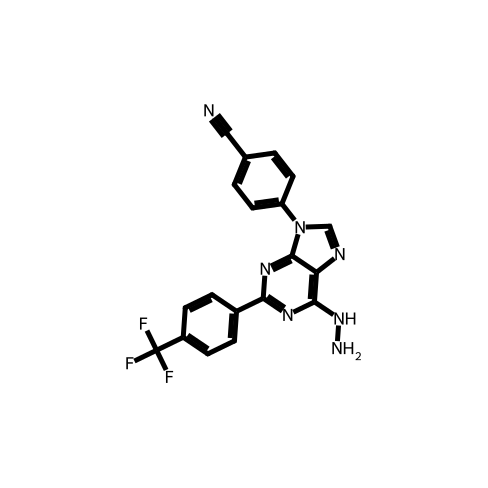 N#Cc1ccc(-n2cnc3c(NN)nc(-c4ccc(C(F)(F)F)cc4)nc32)cc1